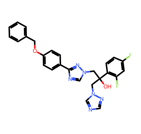 OC(Cn1cncn1)(Cn1cnc(-c2ccc(OCc3ccccc3)cc2)n1)c1ccc(F)cc1F